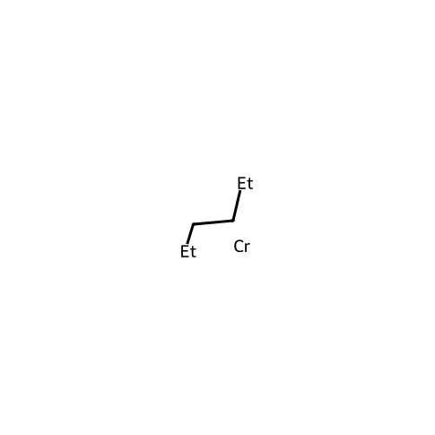 CCCCCC.[Cr]